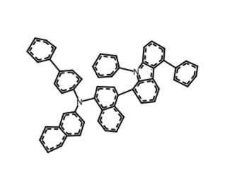 c1ccc(-c2ccc(N(c3ccc4ccccc4c3)c3ccc(-c4cccc5c6c(-c7ccccc7)cccc6n(-c6ccccc6)c45)c4ccccc34)cc2)cc1